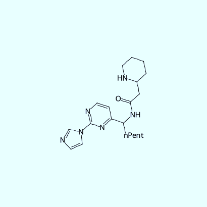 CCCCCC(NC(=O)CC1CCCCN1)c1ccnc(-n2ccnc2)n1